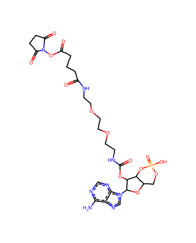 Nc1ncnc2c1ncn2C1OC2COP(=O)(O)OC2C1OC(=O)NCCOCCOCCNC(=O)CCCC(=O)ON1C(=O)CCC1=O